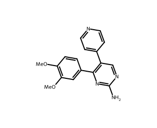 COc1ccc(-c2nc(N)ncc2-c2ccncc2)cc1OC